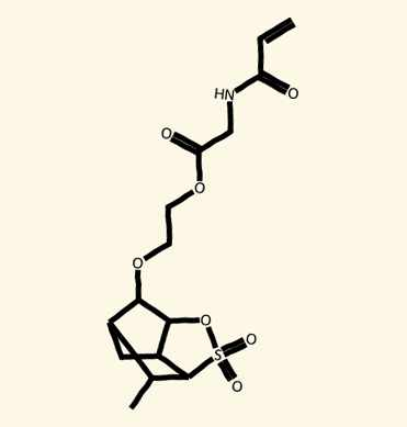 C=CC(=O)NCC(=O)OCCOC1C2CC3C1OS(=O)(=O)C3C2C